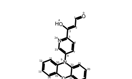 O=CC=C(O)c1ccc(N2c3ccccc3Oc3ccccc32)cn1